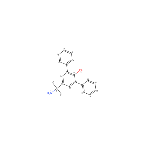 CC(C)(N)c1cc(-c2ccccc2)c(O)c(-c2ccccc2)c1